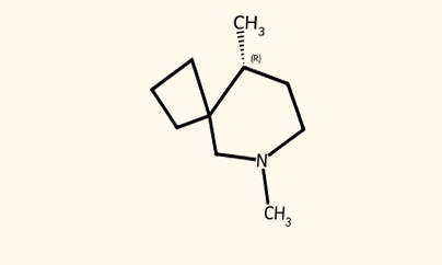 C[C@@H]1CCN(C)CC12CCC2